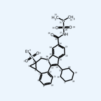 CCS(=O)(=O)C12CC1c1ccccc1-c1c(C3CCCCC3)c3ccc(C(=O)NS(=O)(=O)N(C)C)cc3n1C2